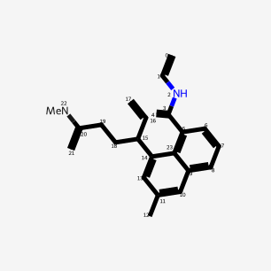 C=CNC(=C)c1cccc2cc(C)cc(C(C=C)CCC(=C)NC)c12